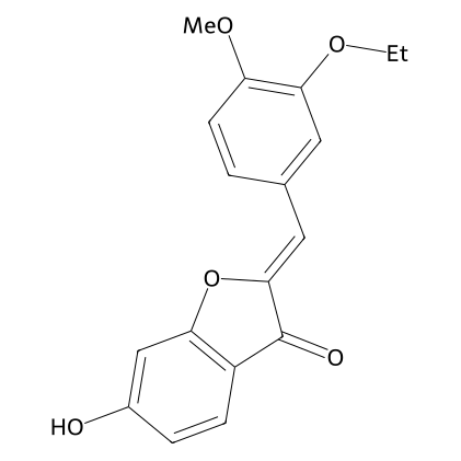 CCOc1cc(/C=C2\Oc3cc(O)ccc3C2=O)ccc1OC